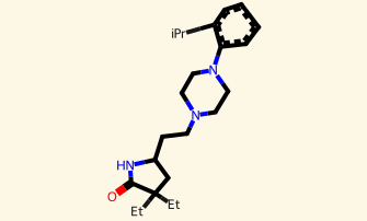 CCC1(CC)CC(CCN2CCN(c3ccccc3C(C)C)CC2)NC1=O